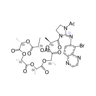 CC(=O)O[C@@H](C)C(=O)O[C@@H](C)C(=O)O[C@@H](C)C(=O)O[C@@H](C)C(=O)O[C@@H](C)C(=O)O[C@@H](C)C(=O)N1CCN(C(C)=O)/C1=N/c1ccc2nccnc2c1Br